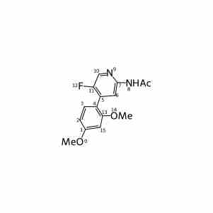 COc1ccc(-c2cc(NC(C)=O)ncc2F)c(OC)c1